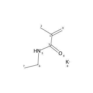 C=C(C)C(=O)NCC.[K]